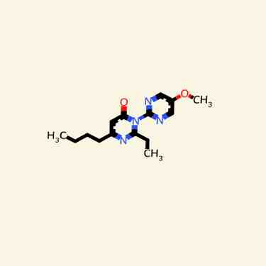 CCCCc1cc(=O)n(-c2ncc(OC)cn2)c(CC)n1